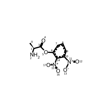 C[C@H](N)C(=O)Oc1cccc([N+](=O)[O-])c1[N+](=O)[O-]